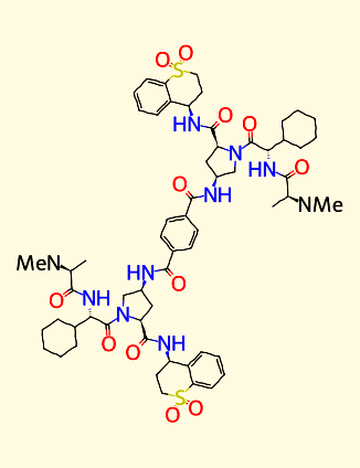 CN[C@@H](C)C(=O)N[C@H](C(=O)N1C[C@@H](NC(=O)c2ccc(C(=O)N[C@H]3C[C@@H](C(=O)N[C@@H]4CCS(=O)(=O)c5ccccc54)N(C(=O)[C@@H](NC(=O)[C@H](C)NC)C4CCCCC4)C3)cc2)C[C@H]1C(=O)N[C@@H]1CCS(=O)(=O)c2ccccc21)C1CCCCC1